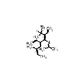 C=C/C(=C(\N=C(C)C)C(C=C)C/C(C)=C\C)C(C)(C)F